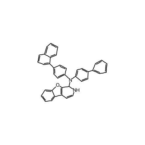 C1=Cc2c(oc3ccccc23)C(N(c2ccc(-c3ccccc3)cc2)c2ccc(-c3cccc4ccccc34)cc2)N1